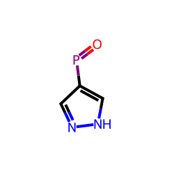 O=Pc1cn[nH]c1